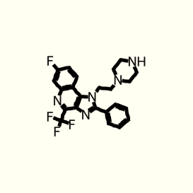 Fc1ccc2c(c1)nc(C(F)(F)F)c1nc(-c3ccccc3)n(CCN3CCNCC3)c12